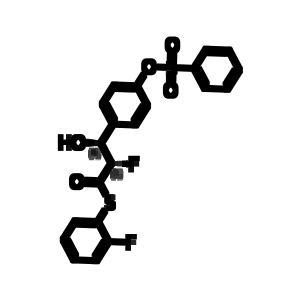 O=C(Sc1ccccc1F)[C@@H](F)[C@@H](O)c1ccc(OS(=O)(=O)c2ccccc2)cc1